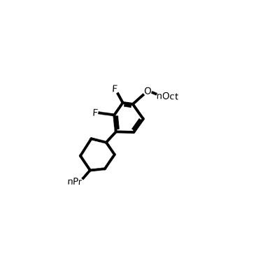 CCCCCCCCOc1ccc(C2CCC(CCC)CC2)c(F)c1F